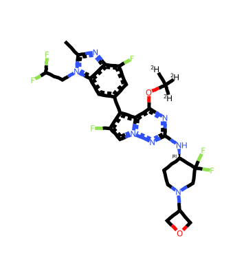 [2H]C([2H])([2H])Oc1nc(N[C@@H]2CCN(C3COC3)CC2(F)F)nn2cc(F)c(-c3cc(F)c4nc(C)n(CC(F)F)c4c3)c12